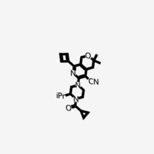 CC(C)C1CN(c2nc(C3=CC=C3)c3c(c2C#N)CC(C)(C)OC3)CCN1C(=O)C1CC1